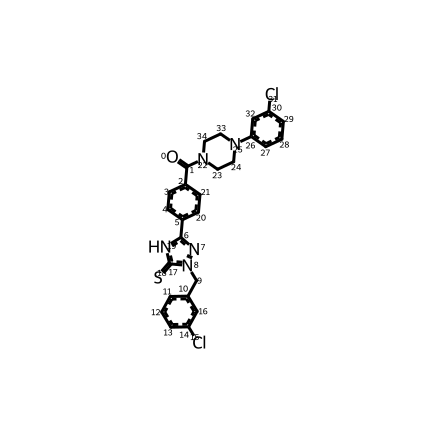 O=C(c1ccc(-c2nn(Cc3cccc(Cl)c3)c(=S)[nH]2)cc1)N1CCN(c2cccc(Cl)c2)CC1